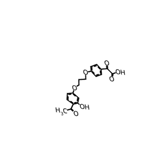 CC(=O)c1ccc(OCCCOc2ccc(C(=O)C(=O)O)cc2)cc1O